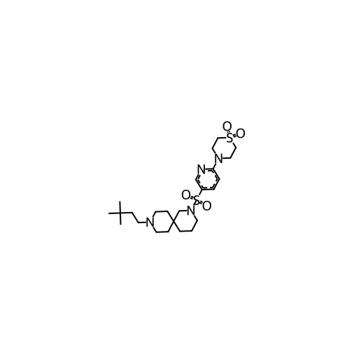 CC(C)(C)CCN1CCC2(CCCN(S(=O)(=O)c3ccc(N4CCS(=O)(=O)CC4)nc3)C2)CC1